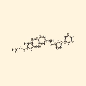 CCCc1cc(Nc2nc(NCc3cc(-c4ccccn4)no3)ncc2Br)n[nH]1